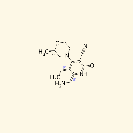 C/C=c1/c(N2CCO[C@H](C)C2)c(C#N)c(=O)[nH]/c1=C/N